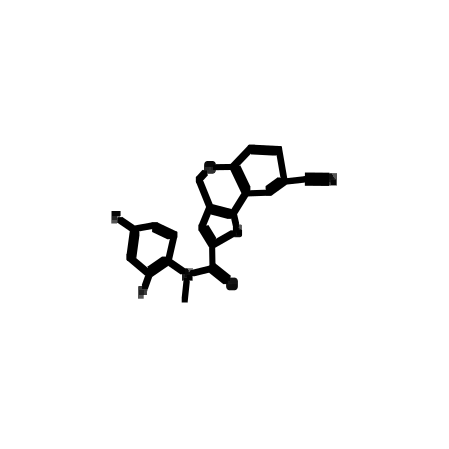 CN(C(=O)c1cc2c(s1)-c1cc(C#N)ccc1OC2)c1ccc(F)cc1F